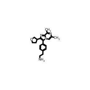 Cc1cn2c(-c3ccc(CCN)cc3)c(C3CCOC3)nc2c(C)n1